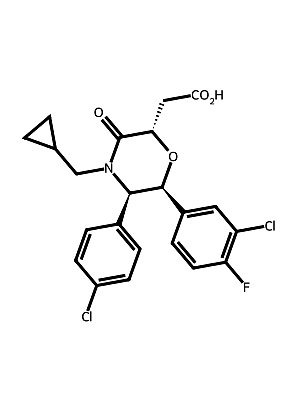 O=C(O)C[C@@H]1O[C@@H](c2ccc(F)c(Cl)c2)[C@@H](c2ccc(Cl)cc2)N(CC2CC2)C1=O